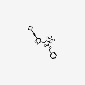 C[C@@](CCc1cc(C#CC2CCC2)on1)(C(=O)OCc1ccccc1)S(C)(=O)=O